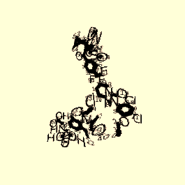 C#CCOc1cc(-n2nc3n(c2=O)CCCC3)c(Cl)cc1Cl.CCc1cccc(C)c1N(C(=O)CCl)C(C)COC.CS(=O)(=O)c1cc(C(F)(F)F)ccc1C(=O)c1cnoc1C1CC1.O=C(O)CNCP(=O)(O)O